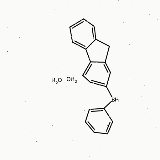 B(c1ccccc1)c1ccc2c(c1)Cc1ccccc1-2.O.O